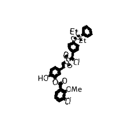 CC[Si](CC)(Oc1ccc(C(Cl)S(=O)(=O)/C=C/c2ccc(O)c(OC(=O)c3cccc(Cl)c3OC)c2)cc1)c1ccccc1